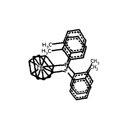 Cc1ccccc1P(c1ccccc1C)[C]12[CH]3[CH]4[CH]5[CH]1[Fe]45321678[CH]2[CH]1[CH]6[C]7(P(c1ccccc1C)c1ccccc1C)[CH]28